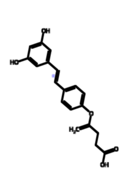 C=C(CCC(=O)O)Oc1ccc(/C=C/c2cc(O)cc(O)c2)cc1